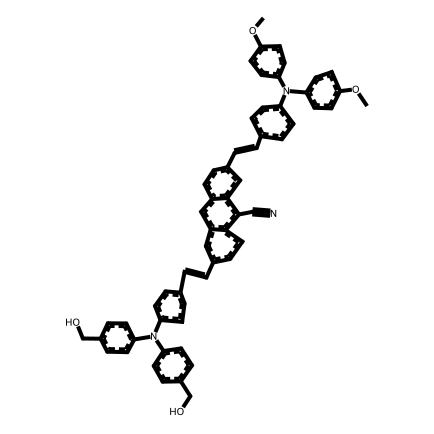 COc1ccc(N(c2ccc(C=Cc3ccc4cc5cc(C=Cc6ccc(N(c7ccc(CO)cc7)c7ccc(CO)cc7)cc6)ccc5c(C#N)c4c3)cc2)c2ccc(OC)cc2)cc1